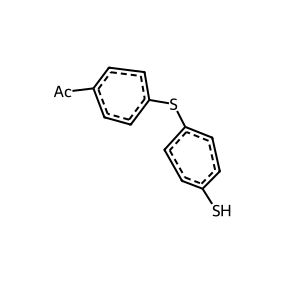 CC(=O)c1ccc(Sc2ccc(S)cc2)cc1